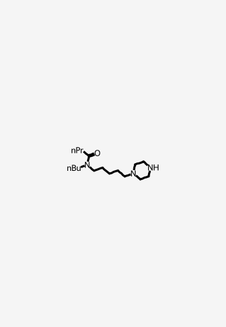 CCCCN(CCCCCN1CCNCC1)C(=O)CCC